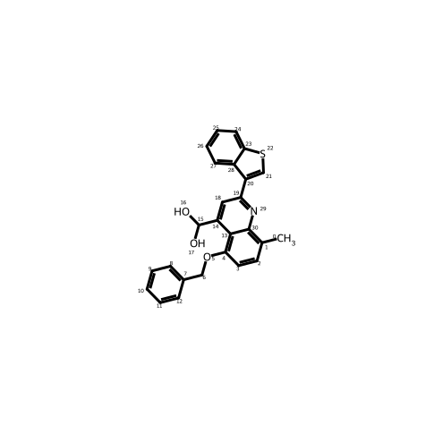 Cc1ccc(OCc2ccccc2)c2c(C(O)O)cc(-c3csc4ccccc34)nc12